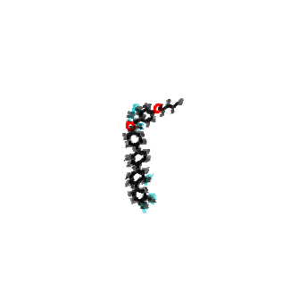 CCCCOc1ccc(C(F)(F)OC2CCC(c3ccc(-c4ccc(-c5ccc(F)c(F)c5)c(F)c4)cc3)CC2)c(F)c1